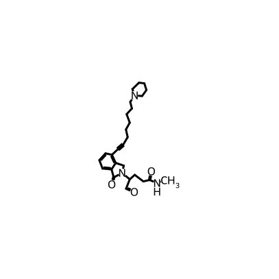 CNC(=O)CCC(C=O)N1Cc2c(C#CCCCCCCN3CCCCC3)cccc2C1=O